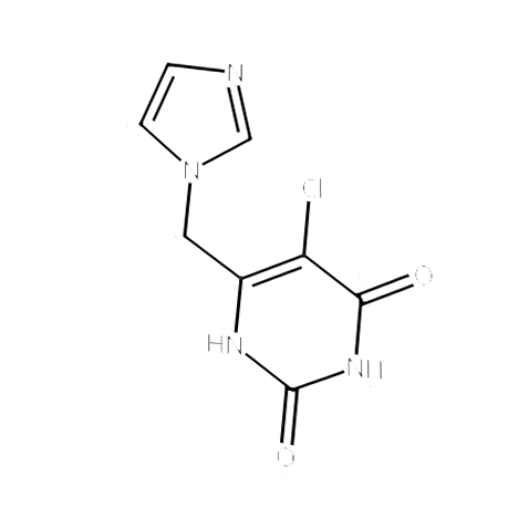 O=c1[nH]c(Cn2ccnc2)c(Cl)c(=O)[nH]1